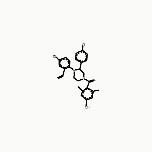 C=Cc1cc(Cl)ccc1N1CCN(C(=O)c2c(C)cc(O)cc2C)CC1c1ccc(Cl)cc1